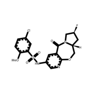 COc1ccc(Cl)cc1S(=O)(=O)Nc1cnc2c(c1)C(=O)N1C[C@@H](F)C[C@@H]1CO2